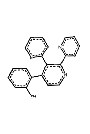 Sc1ccccc1-c1ccnc(-c2ccccn2)c1-c1ccccn1